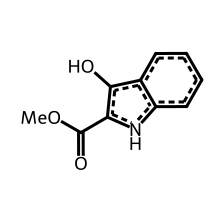 COC(=O)c1[nH]c2ccccc2c1O